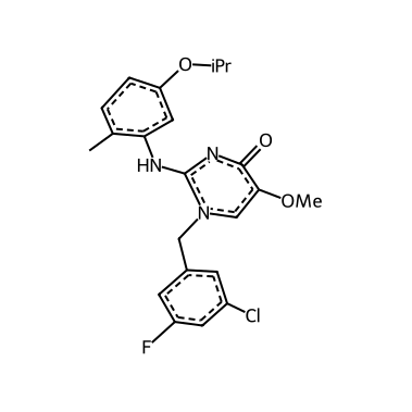 COc1cn(Cc2cc(F)cc(Cl)c2)c(Nc2cc(OC(C)C)ccc2C)nc1=O